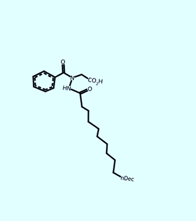 CCCCCCCCCCCCCCCCCCCC(=O)NN(CC(=O)O)C(=O)c1ccccc1